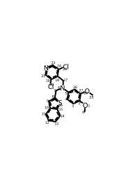 COc1ccc(N(Cc2cc3ccccc3s2)Cc2c(Cl)cncc2Cl)cc1OC